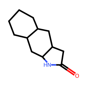 O=C1CC2CC3CCCCC3CC2N1